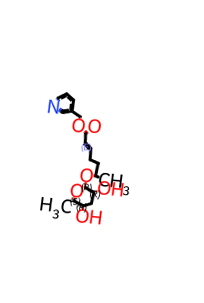 CC(CC/C=C/C(=O)OCc1cccnc1)O[C@@H]1O[C@@H](C)[C@H](O)C[C@H]1O